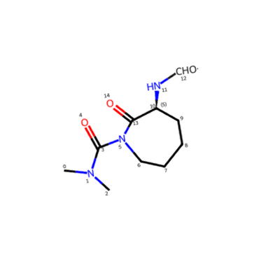 CN(C)C(=O)N1CCCC[C@H](N[C]=O)C1=O